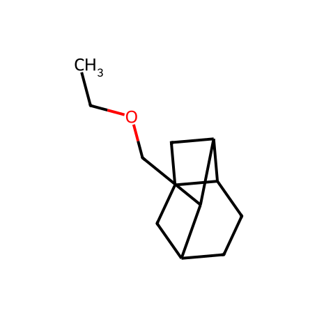 CCOCC1C2CCC3C(C2)CC31